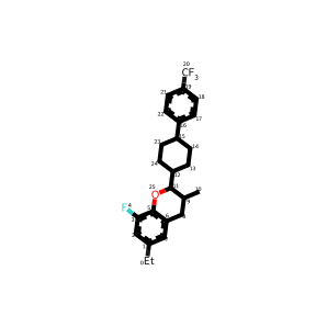 CCc1cc(F)c2c(c1)CC(C)C(C1CCC(c3ccc(C(F)(F)F)cc3)CC1)O2